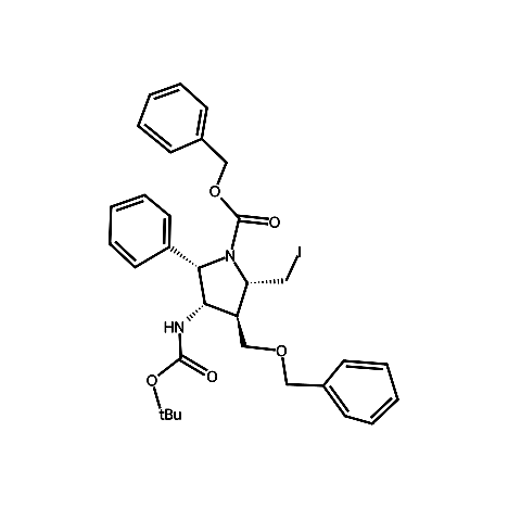 CC(C)(C)OC(=O)N[C@H]1[C@H](COCc2ccccc2)[C@@H](CI)N(C(=O)OCc2ccccc2)[C@H]1c1ccccc1